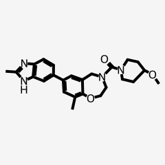 COC1CCN(C(=O)N2CCOc3c(C)cc(-c4ccc5nc(C)[nH]c5c4)cc3C2)CC1